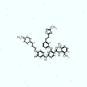 Cc1noc(CCc2cccc(Oc3nc(Nc4ccc(OCCCN5CCN(C)CC5)c(F)c4)ncc3C(=O)Nc3c(C)cccc3C)c2)n1